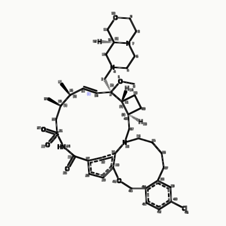 CO[C@]1(CN2CCN3CCOC[C@@H]3C2)/C=C/[C@H](C)[C@H](C)CS(=O)(=O)NC(=O)c2ccc3c(c2)N(CCCCc2cc(Cl)ccc2CO3)C[C@@H]2CC[C@H]21